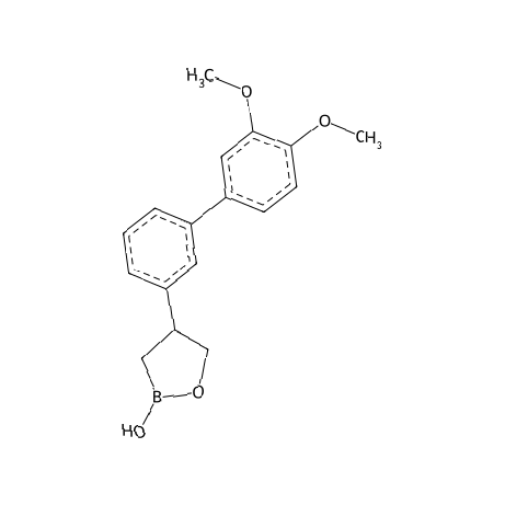 COc1ccc(-c2cccc(C3COB(O)C3)c2)cc1OC